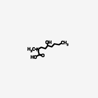 CCCCC(O)CCN(C)C(=O)O